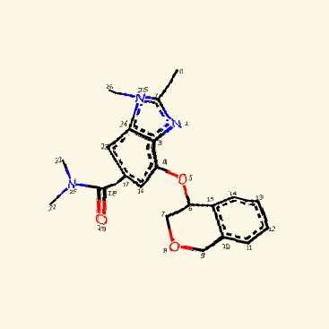 Cc1nc2c(OC3COCc4ccccc43)cc(C(=O)N(C)C)cc2n1C